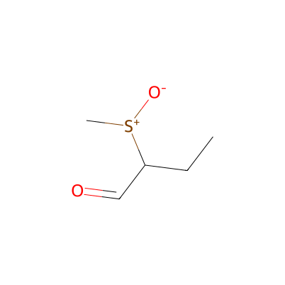 CCC(C=O)[S+](C)[O-]